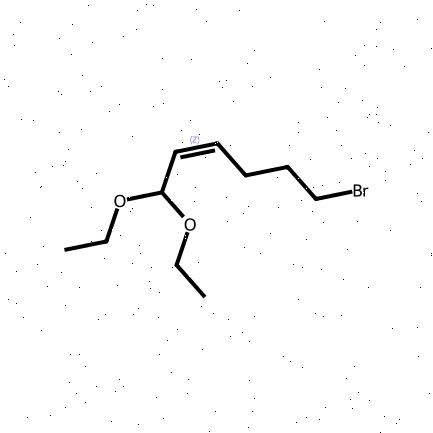 CCOC(/C=C\CCCBr)OCC